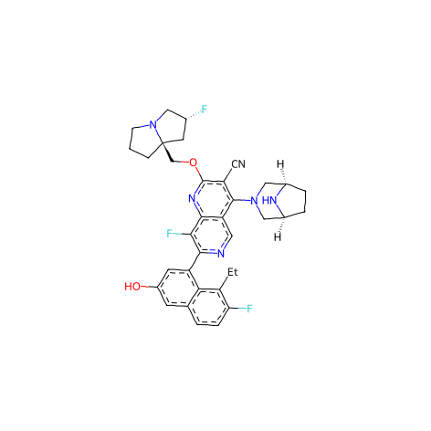 CCc1c(F)ccc2cc(O)cc(-c3ncc4c(N5C[C@H]6CC[C@@H](C5)N6)c(C#N)c(OC[C@@]56CCCN5C[C@H](F)C6)nc4c3F)c12